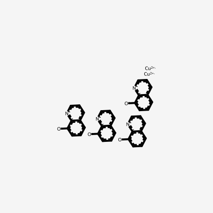 [Cu+2].[Cu+2].[O-]c1cccc2cccnc12.[O-]c1cccc2cccnc12.[O-]c1cccc2cccnc12.[O-]c1cccc2cccnc12